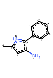 Cc1cc(N)c(-c2ccccc2)[nH]1